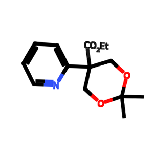 CCOC(=O)C1(c2ccccn2)COC(C)(C)OC1